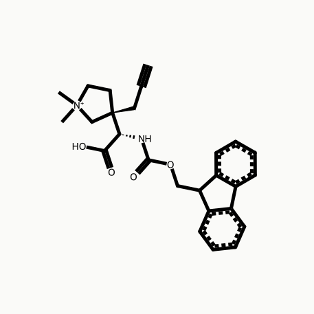 C#CC[C@]1([C@H](NC(=O)OCC2c3ccccc3-c3ccccc32)C(=O)O)CC[N+](C)(C)C1